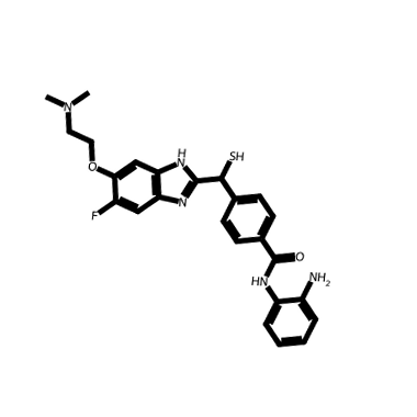 CN(C)CCOc1cc2[nH]c(C(S)c3ccc(C(=O)Nc4ccccc4N)cc3)nc2cc1F